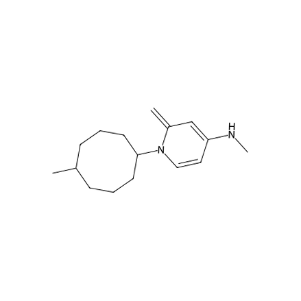 C=C1C=C(NC)C=CN1C1CCCC(C)CCC1